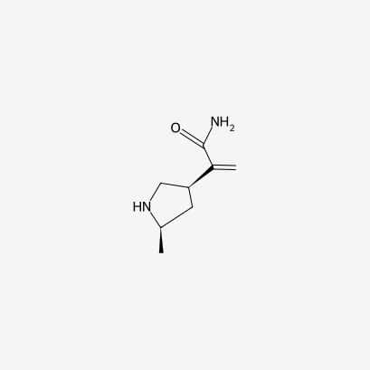 C=C(C(N)=O)[C@@H]1CN[C@H](C)C1